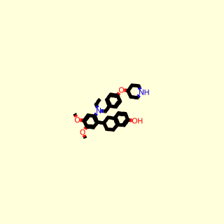 CCN(Cc1ccc(OC2CCNCC2)cc1)c1cc(OC)c(OC)cc1C1CCc2cc(O)ccc2C1